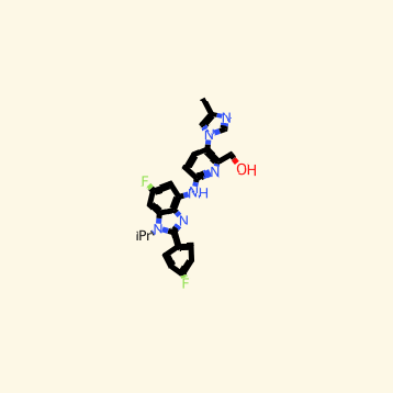 Cc1cn(-c2ccc(Nc3cc(F)cc4c3nc(-c3ccc(F)cc3)n4C(C)C)nc2CO)cn1